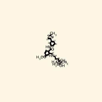 COc1ccc(C(=O)Nc2cccc(-c3csc(C)n3)c2)c(CNCCCC(C)(C)[Si](C)(C)O)c1